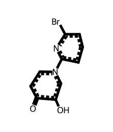 O=c1ccn(-c2cccc(Br)n2)cc1O